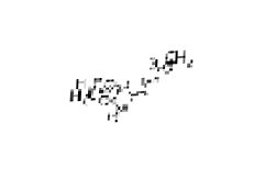 COC(=O)CC/C=C\C[C@@H]1OC(C)(C)O[C@@H]1C=O